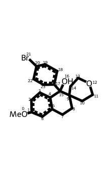 COc1ccc2c(c1)CCC1(CCOCC1)C2(O)c1ccc(Br)cc1